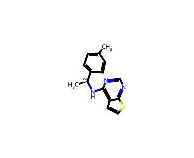 Cc1ccc([C@H](C)Nc2ncnc3sccc23)cc1